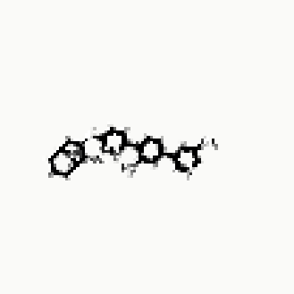 Cc1cncc(-c2ccc(-c3ccc(O[C@@H]4CC5CCCC(N5)[C@@H]4F)nn3)c(O)c2)c1